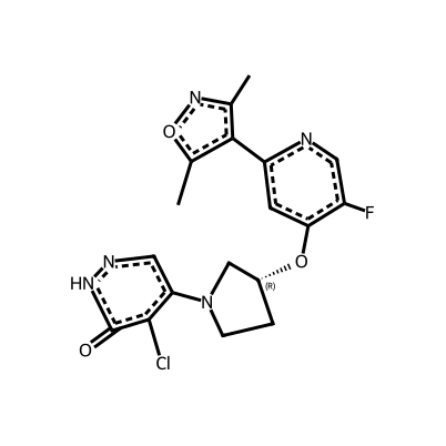 Cc1noc(C)c1-c1cc(O[C@@H]2CCN(c3cn[nH]c(=O)c3Cl)C2)c(F)cn1